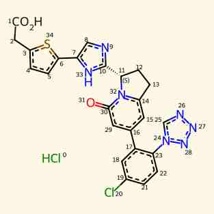 Cl.O=C(O)Cc1ccc(-c2cnc([C@@H]3CCc4cc(-c5cc(Cl)ccc5-n5cnnn5)cc(=O)n43)[nH]2)s1